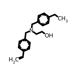 C=Cc1ccc(CN(CCO)Cc2ccc(CC)cc2)cc1